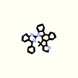 CC1(C)c2cccnc2-c2c1c1c(c3ccccc23)c2ccccc2n1-c1nc(-c2ccccc2)c2ccccc2n1